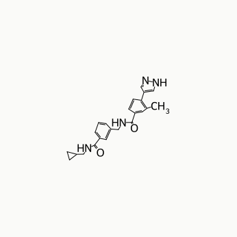 Cc1cc(C(=O)NCc2cccc(C(=O)NCC3CC3)c2)ccc1-c1cn[nH]c1